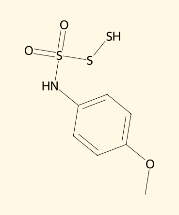 COc1ccc(NS(=O)(=O)SS)cc1